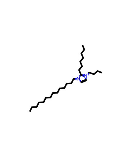 CCCCCCCCCCCCCCn1cc[n+](CCCC)c1CCCCCCC